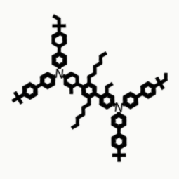 CCCCCCc1cc(C2CC=C(N(c3ccc(-c4ccc(C(C)(C)C)cc4)cc3)c3ccc(C4C=CC(C(C)(C)CC)=CC4)cc3)C=C2C)c(CCCCCC)cc1-c1ccc(N(c2ccc(-c3ccc(C(C)(C)C)cc3)cc2)c2ccc(-c3ccc(C(C)(C)CC)cc3)cc2)cc1CC